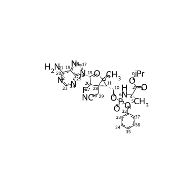 CC(C)OC(=O)[C@H](C)NP(=O)(OC[C@H]1C2(C)O[C@@H](n3cnc4c(N)ncnc43)C(F)C12CC#N)Oc1ccccc1